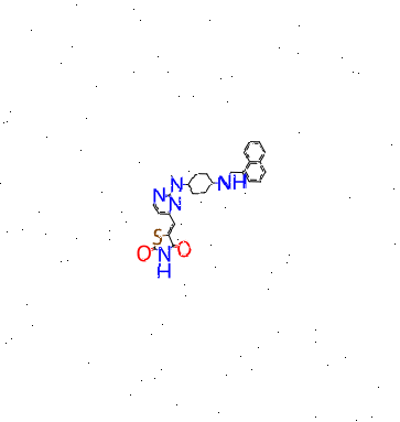 CN(c1nccc(/C=C2\SC(=O)NC2=O)n1)C1CCC(NCc2cccc3ccccc23)CC1